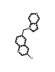 Clc1cnc2ccc(Cn3ccc4cnccc43)cc2c1